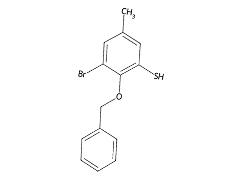 Cc1cc(S)c(OCc2ccccc2)c(Br)c1